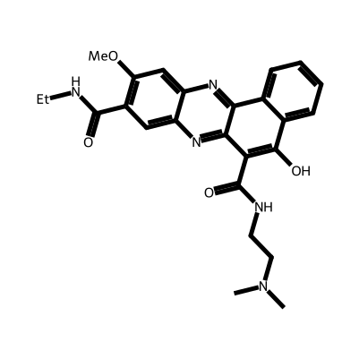 CCNC(=O)c1cc2nc3c(C(=O)NCCN(C)C)c(O)c4ccccc4c3nc2cc1OC